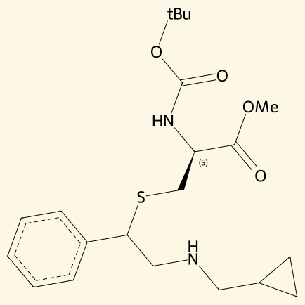 COC(=O)[C@@H](CSC(CNCC1CC1)c1ccccc1)NC(=O)OC(C)(C)C